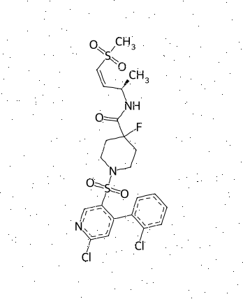 C[C@H](/C=C\S(C)(=O)=O)NC(=O)C1(F)CCN(S(=O)(=O)c2cnc(Cl)cc2-c2ccccc2Cl)CC1